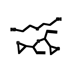 C=CC(OC(C=C)C1CO1)C1CO1.OCCOCCO